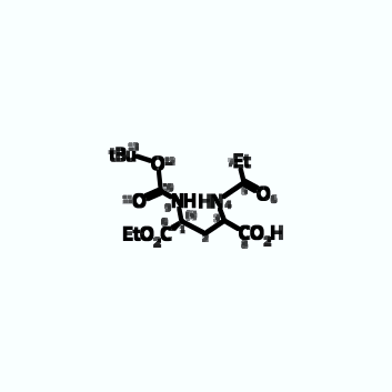 CCOC(=O)[C@H](CC(NC(=O)CC)C(=O)O)NC(=O)OC(C)(C)C